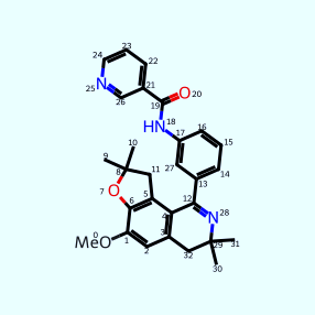 COc1cc2c(c3c1OC(C)(C)C3)C(c1cccc(NC(=O)c3cccnc3)c1)=NC(C)(C)C2